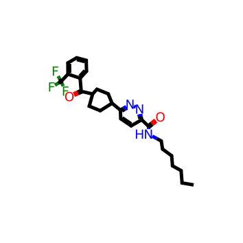 CCCCCCCNC(=O)c1ccc(C2CCC(C(=O)c3ccccc3C(F)(F)F)CC2)nn1